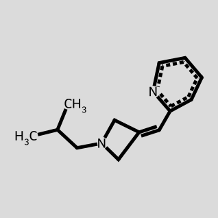 C[C](C)CN1CC(=Cc2ccccn2)C1